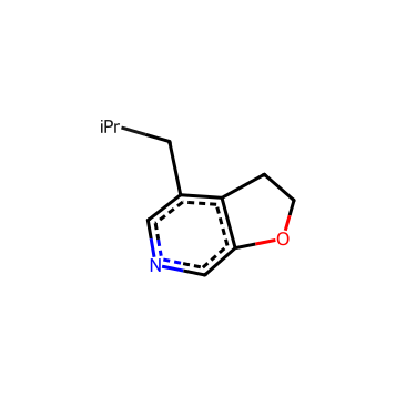 CC(C)Cc1cncc2c1CCO2